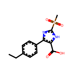 CCc1ccc(-c2nc(S(C)(=O)=O)[nH]c2C(=O)O)cc1